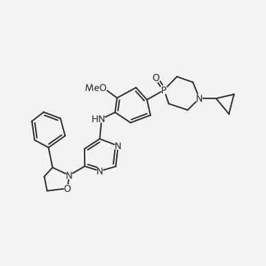 COc1cc(P2(=O)CCN(C3CC3)CC2)ccc1Nc1cc(N2OCCC2c2ccccc2)ncn1